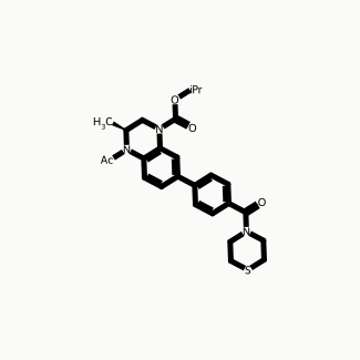 CC(=O)N1c2ccc(-c3ccc(C(=O)N4CCSCC4)cc3)cc2N(C(=O)OC(C)C)C[C@@H]1C